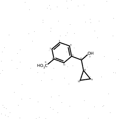 O=C(O)c1cccc(C(O)C2CC2)c1